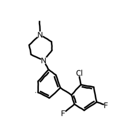 CN1CCN(c2c[c]cc(-c3c(F)cc(F)cc3Cl)c2)CC1